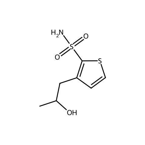 CC(O)Cc1ccsc1S(N)(=O)=O